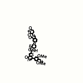 COc1cc(-c2cn(C)c(=O)c3cc(C(=O)NC4CCN(c5ccc6c(c5)C(=O)N(C5CCC(=O)N(C)C5=O)C6)CC4(F)F)sc23)cc(OC)c1CN(C)C